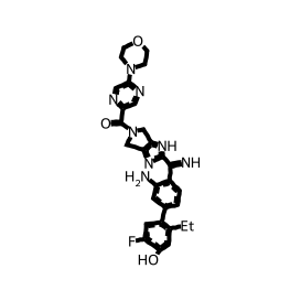 CCc1cc(O)c(F)cc1-c1ccc(C(=N)c2nc3c([nH]2)CN(C(=O)c2cnc(N4CCOCC4)cn2)C3)c(N)c1